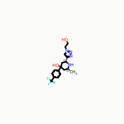 C[C@H]1CC(O)(c2ccc(C(F)(F)F)cc2)C[C@@H](c2cn(CCO)nn2)N1